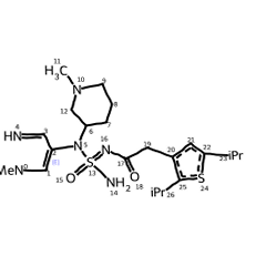 CN/C=C(\C=N)N(C1CCCN(C)C1)S(N)(=O)=NC(=O)Cc1cc(C(C)C)sc1C(C)C